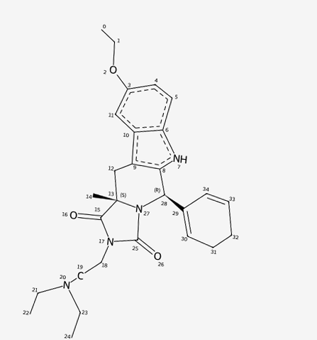 CCOc1ccc2[nH]c3c(c2c1)C[C@@]1(C)C(=O)N(CCN(CC)CC)C(=O)N1[C@@H]3C1=CCCC=C1